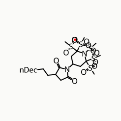 CCCCCCCCCCCCC1CC(=O)N(C2CC(S(C)(=O)=O)(S(C)(=O)=O)N(S(C)(=O)=O)C(S(C)(=O)=O)(S(C)(=O)=O)C2)C1=O